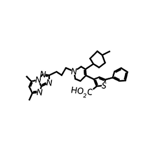 Cc1cc(C)n2nc(CCCN3CCC(c4cc(-c5ccccc5)sc4C(=O)O)=C(C4CCC(C)CC4)C3)nc2n1